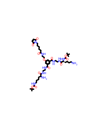 CC(C)(C)OC(=O)NCCCCC(N)C(=O)NCCNC(=O)c1cc(OCCNC(=O)CCCCCN2C(=O)C=CC2=O)cc(C(=O)NCCNC(=O)[C@H](CCCCN)NC(=O)OC(C)(C)C)c1